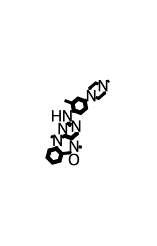 Cc1cc(N2CCN(C)CC2)ccc1Nc1ncc2c(n1)N(C)c1ccccc1C(=O)N2C